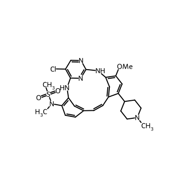 COc1cc(C2CCN(C)CC2)c2cc1Nc1ncc(Cl)c(n1)Nc1cc(ccc1N(C)S(C)(=O)=O)/C=C\2